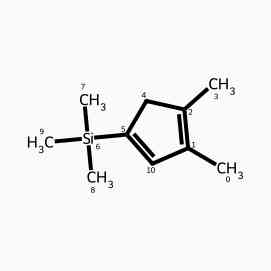 CC1=C(C)CC([Si](C)(C)C)=C1